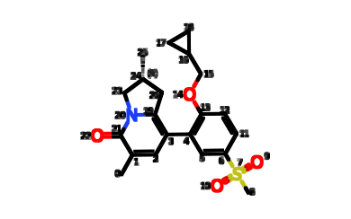 Cc1cc(-c2cc(S(C)(=O)=O)ccc2OCC2CC2)c2n(c1=O)C[C@H](C)C2